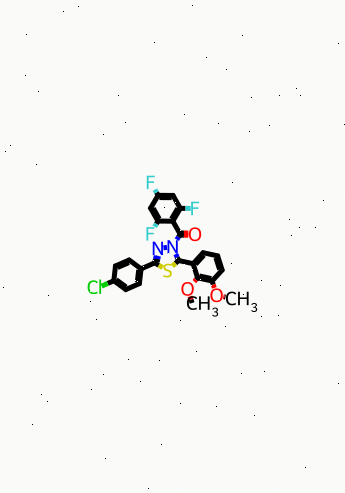 COc1cccc(C2SC(c3ccc(Cl)cc3)=NN2C(=O)c2c(F)cc(F)cc2F)c1OC